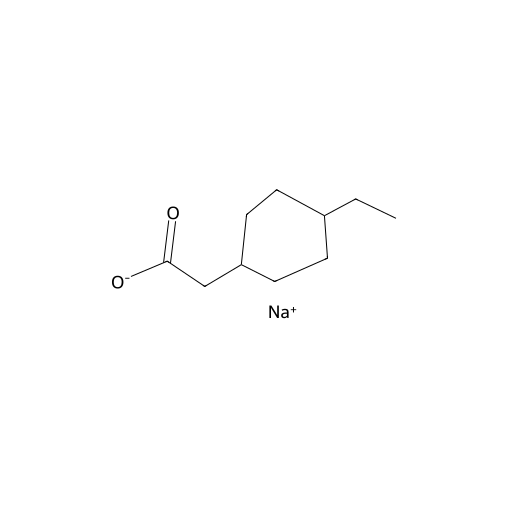 CCC1CCC(CC(=O)[O-])CC1.[Na+]